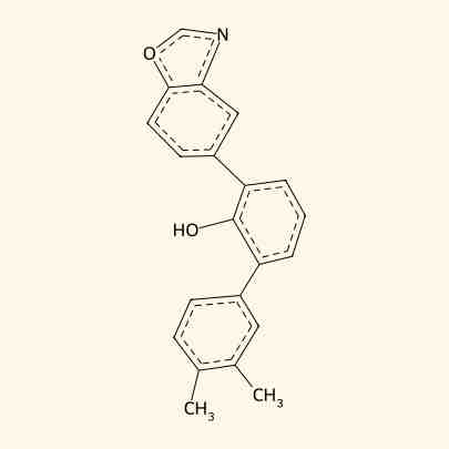 Cc1ccc(-c2cccc(-c3ccc4ocnc4c3)c2O)cc1C